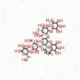 CC(=O)N[C@H]1[C@H](O[C@H]2[C@@H](O)[C@@H](CO)O[C@@H](O[C@H]3[C@H](O)[C@@H](O)C(O)O[C@@H]3CO)[C@@H]2O)O[C@H](CO)[C@@H](O[C@@H]2O[C@H](CO)[C@H](O)[C@H](O)[C@H]2O[C@@H]2O[C@@H](C)[C@@H](O)[C@@H](O)[C@@H]2O)[C@@H]1O[C@@H]1O[C@@H](C)[C@@H](O)[C@@H](O)[C@@H]1O